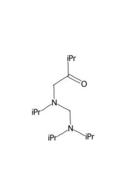 CC(C)C(=O)CN(CN(C(C)C)C(C)C)C(C)C